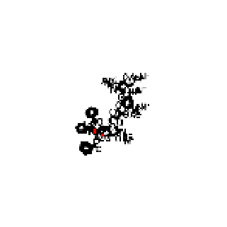 CC(=O)OC1[C@H](O[C@@H]2C(OC(C)=O)[C@H](N=[N+]=[N-])CC(N=[N+]=[N-])[C@H]2O[C@H]2OC(CN=[N+]=[N-])[C@@H](OC(C)=O)[C@H](OC(C)=O)C2N=[N+]=[N-])O[C@H](CS[C@@H]2O[C@H](COC(=O)c3ccccc3)[C@@H](OC(=O)c3ccccc3)C2OC(=O)c2ccccc2)[C@@H]1O[C@H]1O[C@@H](CN=[N+]=[N-])[C@@H](OC(C)=O)C(OC(C)=O)C1N=[N+]=[N-]